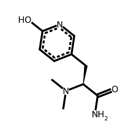 CN(C)[C@@H](Cc1ccc(O)nc1)C(N)=O